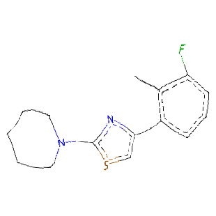 Cc1c(F)cccc1-c1csc(N2CCCCC2)n1